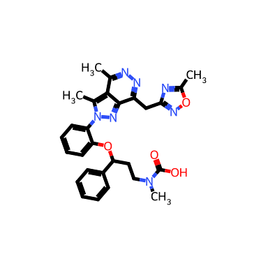 Cc1nc(Cc2nnc(C)c3c(C)n(-c4ccccc4OC(CCN(C)C(=O)O)c4ccccc4)nc23)no1